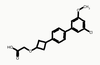 COc1cc(Cl)cc(-c2ccc(C3CC(OCC(=O)O)C3)cc2)c1